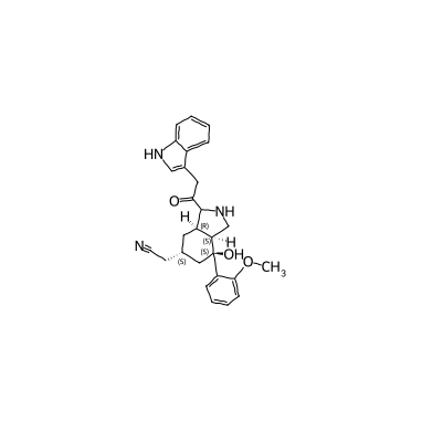 COc1ccccc1[C@]1(O)C[C@H](CC#N)C[C@H]2C(C(=O)Cc3c[nH]c4ccccc34)NC[C@H]21